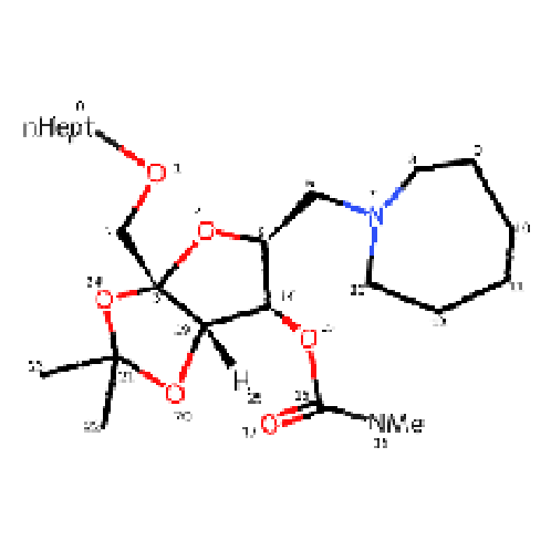 CCCCCCCOC[C@@]12O[C@@H](CN3CCCCCC3)[C@@H](OC(=O)NC)[C@@H]1OC(C)(C)O2